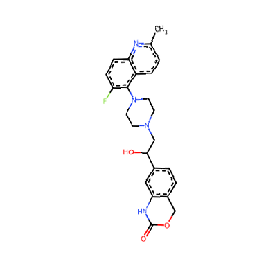 Cc1ccc2c(N3CCN(CC(O)c4ccc5c(c4)NC(=O)OC5)CC3)c(F)ccc2n1